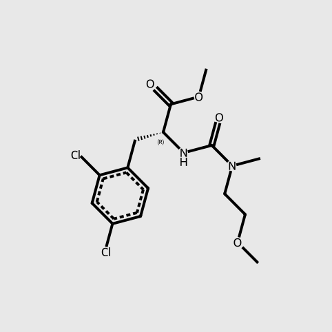 COCCN(C)C(=O)N[C@H](Cc1ccc(Cl)cc1Cl)C(=O)OC